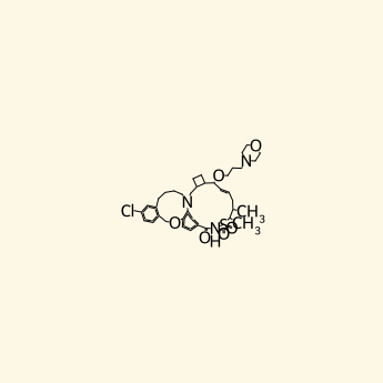 CC1C/C=C/C(OCCCN2CCOCC2)C2CCC2CN2CCCCc3cc(Cl)ccc3COc3ccc(cc32)C(=O)NS(=O)(=O)C1C